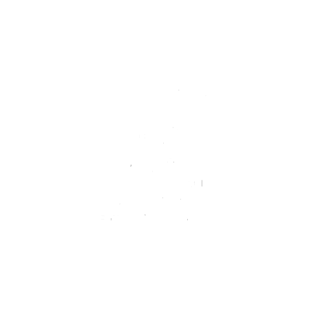 O=C(Oc1ccc(C(F)(F)F)cc1B(O)O)c1ccccc1